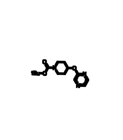 CC(C)(C)OC(=O)N1CCC(Oc2cnccn2)CC1